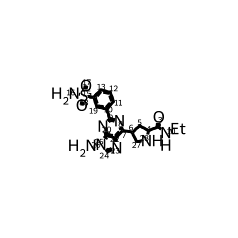 CCNC(=O)C1CC(c2nc(-c3cccc(S(N)(=O)=O)c3)nc3c2ncn3N)CN1